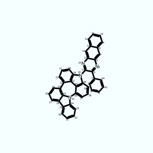 c1ccc(-c2nc3cc4ccccc4cc3nc2-n2c3cccc4c5cccc6c7ccccc7n(c7cccc2c7c43)c56)cc1